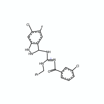 CC(C)CN/C(=N\C(=O)c1cccc(Cl)c1)NC1NNc2cc(Cl)c(F)cc21